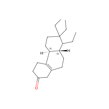 CCC1[C@@H]2CCC3=C(CCC(=O)C3)[C@H]2CCC1(CC)CC